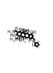 C=C1C(C(N)=O)=C(O)[C@@H](N(C)C)[C@@H]2C[C@@H]3Cc4c(F)c(CNC5CCCC5)cc(O)c4C(=O)C3=C(O)[C@]12O